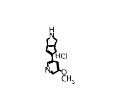 COc1cncc(C2=CC3CNCC3C2)c1.Cl